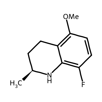 COc1ccc(F)c2c1CC[C@H](C)N2